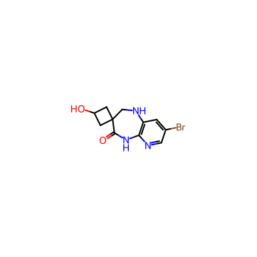 O=C1Nc2ncc(Br)cc2NCC12CC(O)C2